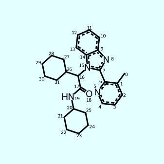 Cc1cccnc1-c1nc2ccccc2n1C(C(=O)NC1CCCCC1)C1CCCCC1